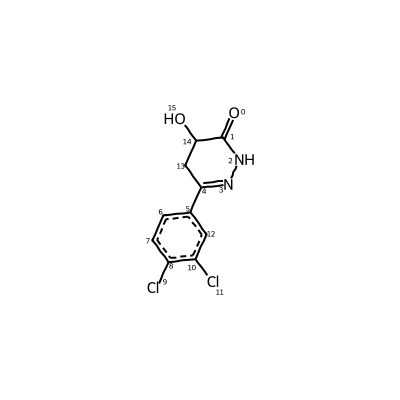 O=C1NN=C(c2ccc(Cl)c(Cl)c2)CC1O